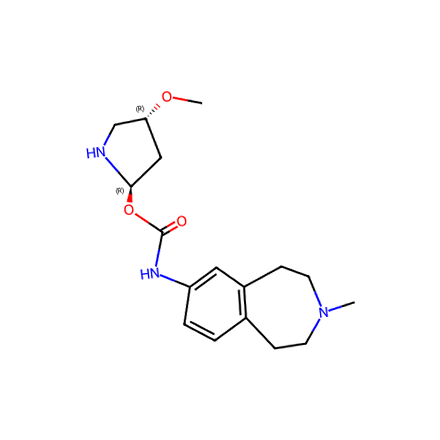 CO[C@H]1CN[C@H](OC(=O)Nc2ccc3c(c2)CCN(C)CC3)C1